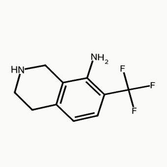 Nc1c(C(F)(F)F)ccc2c1CNCC2